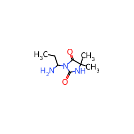 CCC(N)N1C(=O)NC(C)(C)C1=O